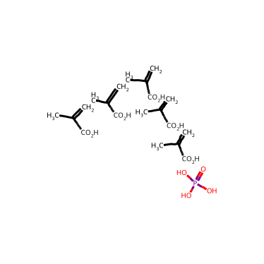 C=C(C)C(=O)O.C=C(C)C(=O)O.C=C(C)C(=O)O.C=C(C)C(=O)O.C=C(C)C(=O)O.O=P(O)(O)O